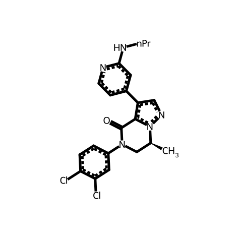 CCCNc1cc(-c2cnn3c2C(=O)N(c2ccc(Cl)c(Cl)c2)C[C@@H]3C)ccn1